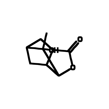 CC1(O)C2CC3C(=O)OC1C3C2